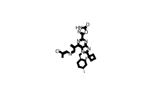 C=C(/C=N\C=C(/C)Cl)c1nc(-c2n[nH]c(=O)o2)nc2nc(C3(F)CCC3)n(C[C@H]3CC[C@H](C)CC3)c12